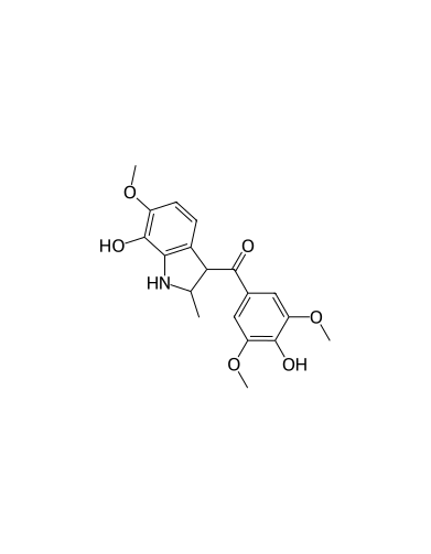 COc1cc(C(=O)C2c3ccc(OC)c(O)c3NC2C)cc(OC)c1O